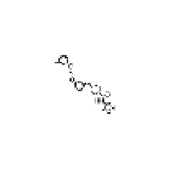 Cc1cccc(OCCOc2cccc(C=C3CCN(C(=O)Nc4cnoc4C)CC3)c2)c1